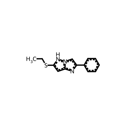 CCSc1cc2nc(-c3ccccc3)cn2[nH]1